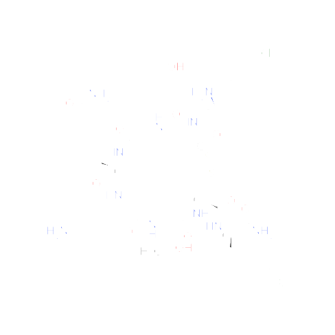 CC(O)C1NC(=O)[C@H](CCCCN)NC(=O)[C@@H](Cc2ccc(C(N)=O)cc2)NC(=O)[C@H](Cc2ccc(O)cc2)NC(=O)[C@H](NC(=O)[C@@H](N)Cc2ccc(Cl)cc2)CSSC[C@@H](C(=O)N[C@H](Cc2ccc(Cl)cc2)C(N)=O)NC1=O